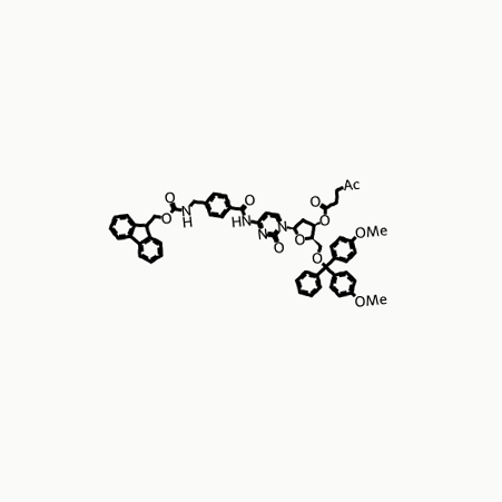 COc1ccc(C(OC[C@H]2O[C@@H](n3ccc(NC(=O)c4ccc(CNC(=O)OCC5c6ccccc6-c6ccccc65)cc4)nc3=O)C[C@H]2OC(=O)CCC(C)=O)(c2ccccc2)c2ccc(OC)cc2)cc1